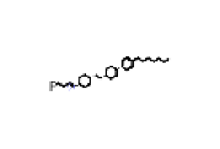 CCCCCCCc1ccc([C@H]2CC[C@H](CC[C@H]3CC[C@H](/C=C/CCF)CC3)CC2)cc1